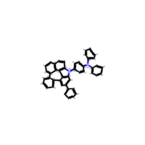 c1ccc(-c2cc3c4c5c6c(cccc6ccc5n(-c5ccc(N(c6ccccc6)c6ccccc6)cc5)c4c2)-c2ccccc2-3)cc1